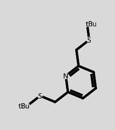 CC(C)(C)SCc1cccc(CSC(C)(C)C)n1